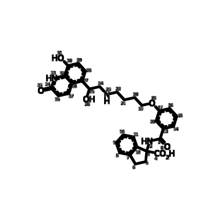 O=C(NC1(C(=O)O)CCc2ccccc21)c1cccc(OCCCCNCC(O)c2ccc(O)c3[nH]c(=O)ccc23)c1